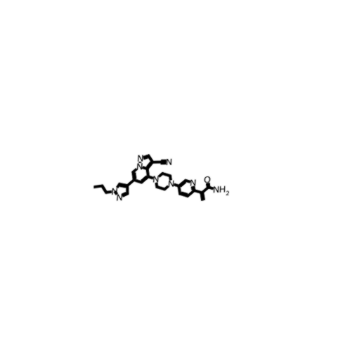 C=C(C(N)=O)c1ccc(N2CCN(c3cc(-c4cnn(CCC)c4)cn4ncc(C#N)c34)CC2)cn1